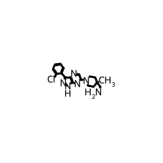 CC1(CN)CCN(c2cnc3c(-c4ccccc4Cl)n[nH]c3n2)CC1